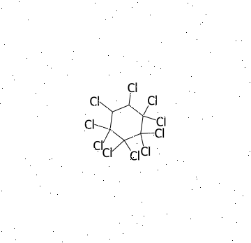 ClC1C(Cl)C(Cl)(Cl)C(Cl)(Cl)C(Cl)(Cl)C1(Cl)Cl